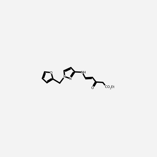 CCOC(=O)CC(=O)C=CNc1ccn(Cc2ccco2)n1